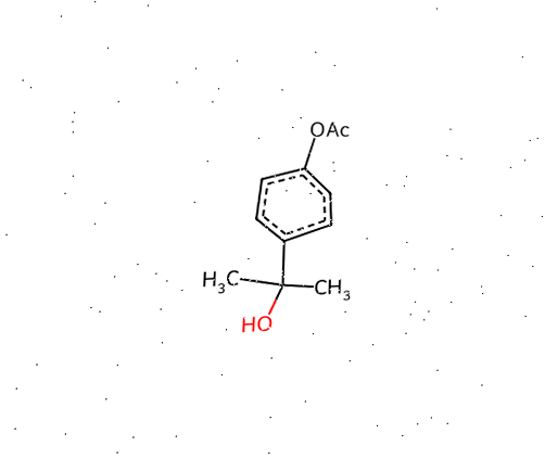 CC(=O)Oc1ccc(C(C)(C)O)cc1